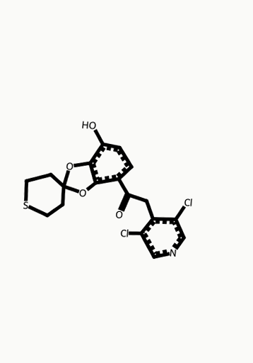 O=C(Cc1c(Cl)cncc1Cl)c1ccc(O)c2c1OC1(CCSCC1)O2